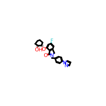 O=C1c2c(cc(F)cc2O[C@H]2CCCC[C@@H]2O)CN1Cc1ccc(-n2cccn2)cc1